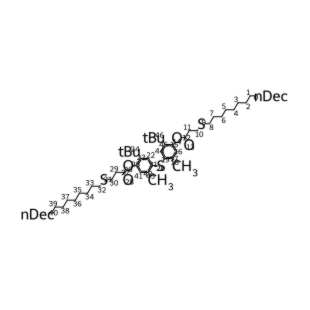 CCCCCCCCCCCCCCCCCCSCCC(=O)Oc1cc(C)c(Sc2cc(C(C)(C)C)c(OC(=O)CCSCCCCCCCCCCCCCCCCCC)cc2C)cc1C(C)(C)C